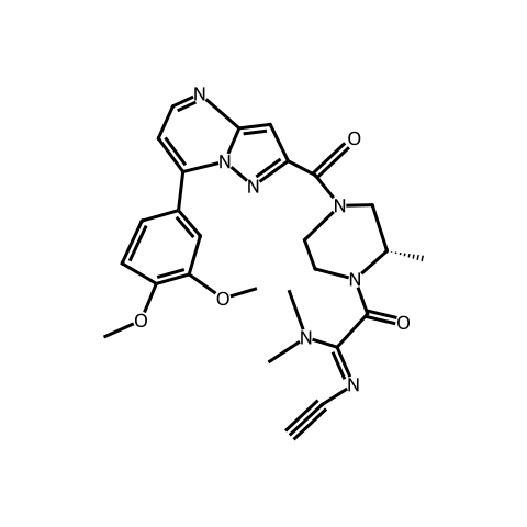 C#C/N=C(/C(=O)N1CCN(C(=O)c2cc3nccc(-c4ccc(OC)c(OC)c4)n3n2)C[C@@H]1C)N(C)C